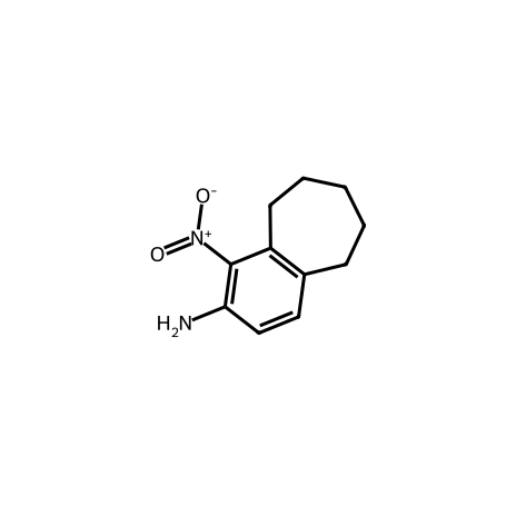 Nc1ccc2c(c1[N+](=O)[O-])CCCCC2